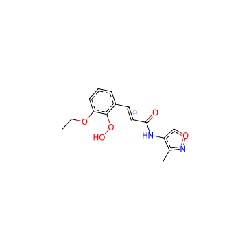 CCOc1cccc(/C=C/C(=O)Nc2conc2C)c1OO